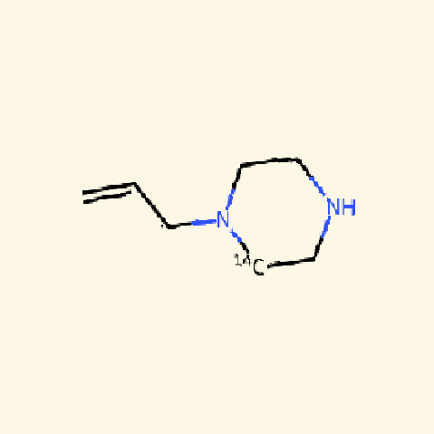 C=C[CH]N1CCNC[14CH2]1